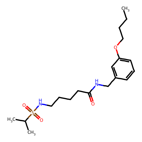 CCCCOc1cccc(CNC(=O)CCCCNS(=O)(=O)C(C)C)c1